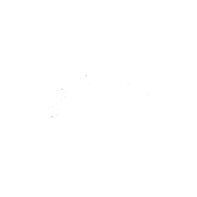 C=CCC/C=C/CCC1COC(c2ccc(C(F)(F)Oc3ccc(-c4ccc(F)cc4)cc3)c(F)c2)OC1